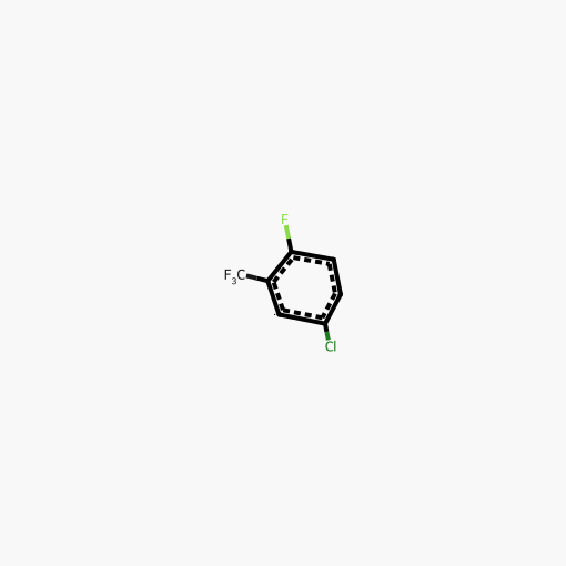 Fc1ccc(Cl)[c]c1C(F)(F)F